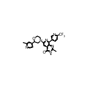 Cc1cc(C2CN(c3cc4c(=O)n(C)c(C)nc4c(-c4ccc(C(F)(F)F)nc4)n3)CCO2)ccn1